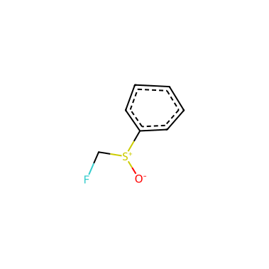 [O-][S+](CF)c1ccccc1